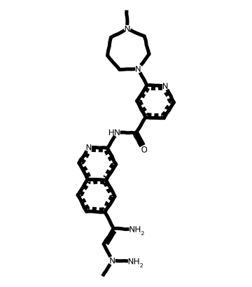 CN(N)/C=C(\N)c1ccc2cnc(NC(=O)c3ccnc(N4CCCN(C)CC4)c3)cc2c1